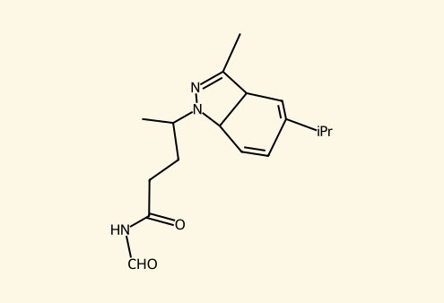 CC1=NN(C(C)CCC(=O)NC=O)C2C=CC(C(C)C)=CC12